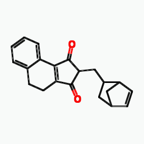 O=C1C2=C(C(=O)C1CC1CC3C=CC1C3)c1ccccc1CC2